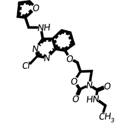 CCNC(=O)N1CC(COc2cccc3c(NCc4ccco4)nc(Cl)nc23)OC1=O